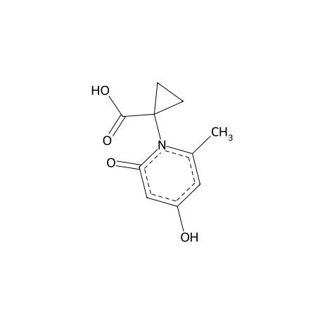 Cc1cc(O)cc(=O)n1C1(C(=O)O)CC1